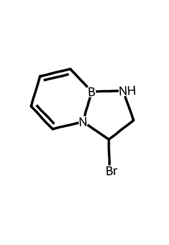 BrC1CNB2C=CC=CN21